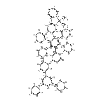 CC1(C)c2ccccc2-c2ccc(-c3c(-c4ccccc4)c(-c4ccccc4)c(-c4ccccc4)c(-c4cccc(-c5ccc(-c6cc(-c7ccccc7)nc(-c7ccccc7)n6)cc5)c4)c3-c3ccccc3)cc21